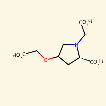 O=C(O)COC1C[C@@H](C(=O)O)N(CC(=O)O)C1